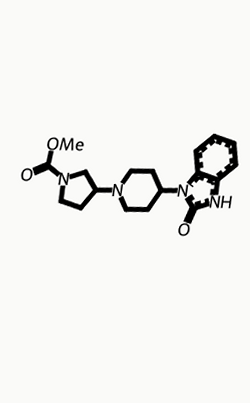 COC(=O)N1CCC(N2CCC(n3c(=O)[nH]c4ccccc43)CC2)C1